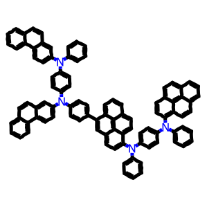 c1ccc(N(c2ccc(N(c3ccc(-c4cc5ccc(N(c6ccccc6)c6ccc(N(c7ccccc7)c7ccc8ccc9cccc%10ccc7c8c9%10)cc6)c6ccc7cccc4c7c56)cc3)c3ccc4c(ccc5ccccc54)c3)cc2)c2ccc3c(ccc4ccccc43)c2)cc1